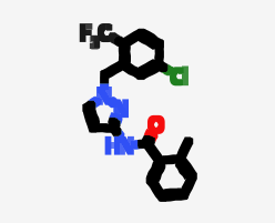 Cc1ccccc1C(=O)Nc1ccn(Cc2cc(Cl)ccc2C(F)(F)F)n1